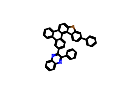 c1ccc(-c2ccc3c(c2)sc2ccc4c5ccccc5c5cc(-c6nc7ccccc7nc6-c6ccccc6)ccc5c4c23)cc1